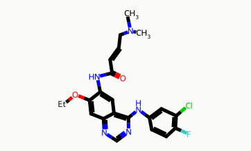 CCOc1cc2ncnc(Nc3ccc(F)c(Cl)c3)c2cc1NC(=O)/C=C/CN(C)C